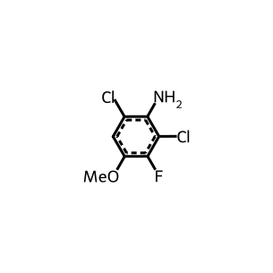 COc1cc(Cl)c(N)c(Cl)c1F